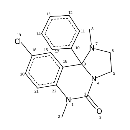 CN1C(=O)N2CCN(C)C2(c2ccccc2)c2cc(Cl)ccc21